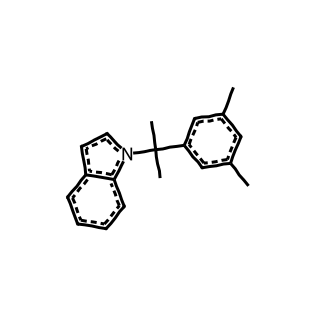 Cc1cc(C)cc(C(C)(C)n2ccc3ccccc32)c1